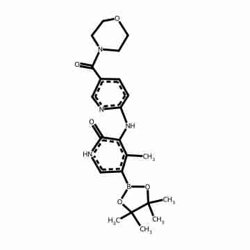 Cc1c(B2OC(C)(C)C(C)(C)O2)c[nH]c(=O)c1Nc1ccc(C(=O)N2CCOCC2)cn1